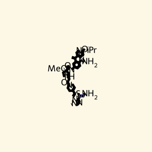 C=C(S/C(=C\N)c1ncn(C)n1)C1=CCN(C(=O)CN2CC[C@@](OC)(C(=O)Nc3ccc(NN)c(C(=C)c4ccc(OC(C)C)nc4)c3)C2)CC1